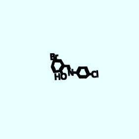 Oc1ccc(Br)cc1C=Nc1ccc(Cl)cc1